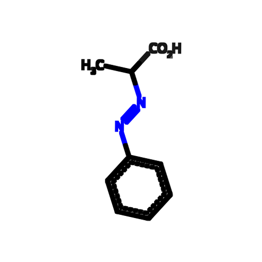 CC(N=Nc1ccccc1)C(=O)O